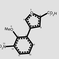 COc1c(-c2coc(C(=O)O)c2)cccc1[N+](=O)[O-]